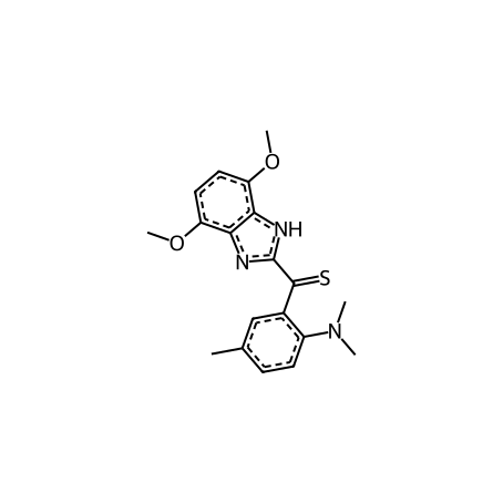 COc1ccc(OC)c2[nH]c(C(=S)c3cc(C)ccc3N(C)C)nc12